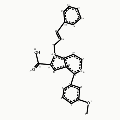 COc1cccc(-c2nccc3c2cc(C(=O)O)n3C/C=C/c2ccccc2)c1